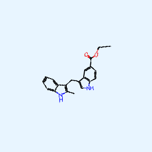 CCOC(=O)c1ccc2[nH]cc(Cc3c(C)[nH]c4ccccc34)c2c1